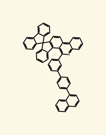 c1cc(-c2ccc(-c3cccc4ccccc34)cc2)cc(-c2nc3ccccc3c3ccc4c(c23)-c2ccccc2C42c3ccccc3-c3ccccc32)c1